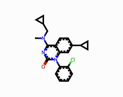 CN(CC1CC1)c1nc(=O)n(-c2ccccc2Cl)c2cc(C3CC3)ccc12